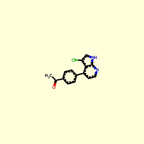 CC(=O)c1ccc(-c2ccnc3[nH]cc(Cl)c23)cc1